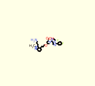 Cn1nc2cccc(C=CCO[C@H]3C[C@@H](C(=O)O)N(c4nccn5c(-c6ccc(F)cc6F)ncc45)C3)c2c1CCCN